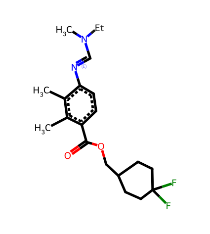 CCN(C)/C=N/c1ccc(C(=O)OCC2CCC(F)(F)CC2)c(C)c1C